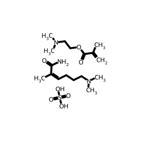 C=C(C)C(=O)OCCN(C)C.CC(=CCCCN(C)C)C(N)=O.O=S(=O)(O)O